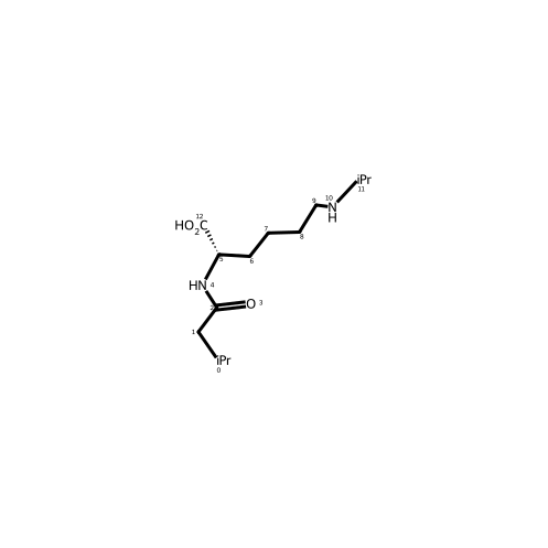 CC(C)CC(=O)N[C@@H](CCCCNC(C)C)C(=O)O